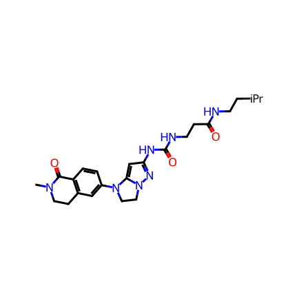 CC(C)CCNC(=O)CCNC(=O)Nc1cc2n(n1)CCN2c1ccc2c(c1)CCN(C)C2=O